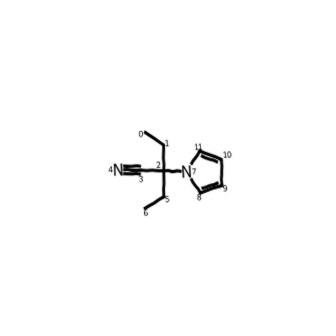 CCC(C#N)(CC)n1cccc1